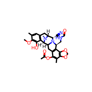 COc1c(C)cc2c(c1O)[C@@H]1[C@@H]3Cc4c(OC(C)=O)c(C)c5c(c4[C@H](CNC=O)N3[C@@H](C#N)[C@@H](C2)N1C)OCO5